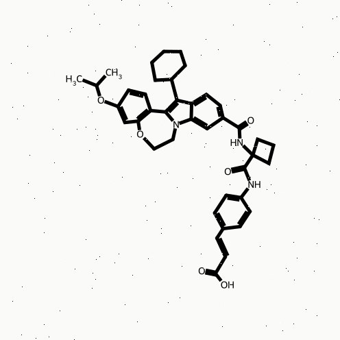 CC(C)Oc1ccc2c(c1)OCCn1c-2c(C2CCCCC2)c2ccc(C(=O)NC3(C(=O)Nc4ccc(/C=C/C(=O)O)cc4)CCC3)cc21